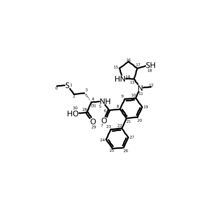 CSCC[C@H](NC(=O)c1cc(N(C)C2NCCC2S)ccc1-c1ccccc1)C(=O)O